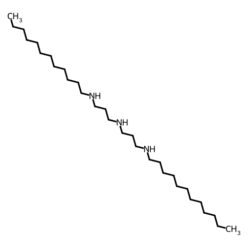 CCCCCCCCCCCCNCCCNCCCNCCCCCCCCCCCC